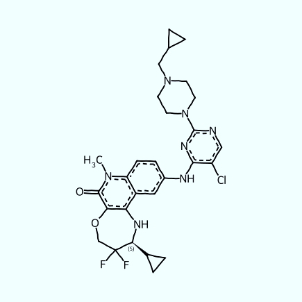 Cn1c(=O)c2c(c3cc(Nc4nc(N5CCN(CC6CC6)CC5)ncc4Cl)ccc31)N[C@@H](C1CC1)C(F)(F)CO2